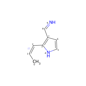 C/C=C\c1[nH]ccc1C=N